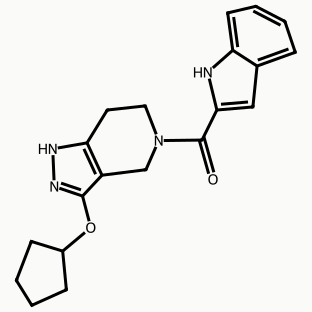 O=C(c1cc2ccccc2[nH]1)N1CCc2[nH]nc(OC3CCCC3)c2C1